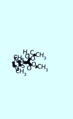 CCOC(=O)C(C(=O)OC(C)C)=C1SC2C(S1)N(C)CCN2C